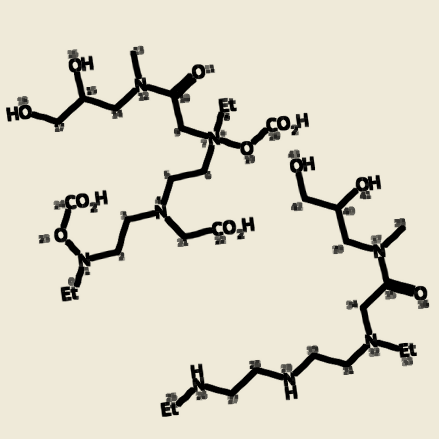 CCN(CCN(CC[N+](CC)(CC(=O)N(C)CC(O)CO)OC(=O)O)CC(=O)O)OC(=O)O.CCNCCNCCN(CC)CC(=O)N(C)CC(O)CO